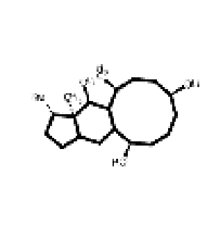 CC[C@@H](C)C1CCC2CC3C([C@@H](C)CC[C@@H](O)CCC[C@H]3O)[C@H](O)[C@@]21C